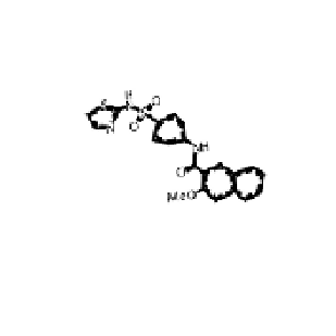 COc1cc2ccccc2cc1C(=O)Nc1ccc(S(=O)(=O)Nc2nccs2)cc1